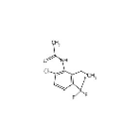 CCc1c(C(F)(F)F)ccc(Cl)c1NC(C)=O